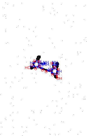 CN1C(=O)[C@@H](Cc2ccc(O)cc2)NC(=O)CNC(=O)[C@H](Cc2ccc3ccccc3c2)NC(=O)[C@H](CCCNC(N)=O)NC(=O)[C@H]1CCCNC(=O)CCCC(=O)NCCC[C@@H]1NC(=O)[C@@H](Cc2ccc(O)cc2)NC(=O)CNC(=O)[C@H](Cc2ccc3ccccc3c2)NC(=O)[C@H](CCCNC(=N)N)NC1=O